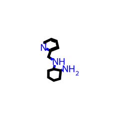 NC1CCCCC1NCc1ccccn1